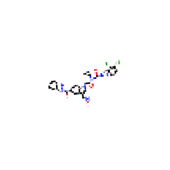 O=NCc1cn(CC(=O)N(CC(=O)NCc2cccc(Cl)c2F)C2CC2)c2ccc(C(=O)NCc3ccccc3)cc12